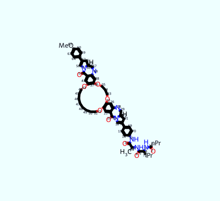 CCCC(=O)NC(C(=O)N[C@@H](C)C(=O)Nc1ccc(C2=CN3C(=O)c4cc5c(cc4N=C[C@@H]3C2)OCCCOc2cc3c(cc2OCCCCCCCCO5)C(=O)N2C=C(c4ccc(OC)cc4)C[C@H]2C=N3)cc1)C(C)C